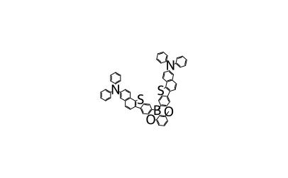 c1ccc(N(c2ccccc2)c2ccc3c(ccc4c5cc6c(cc5sc34)B3c4cc5sc7c8ccc(N(c9ccccc9)c9ccccc9)cc8ccc7c5cc4Oc4cccc(c43)O6)c2)cc1